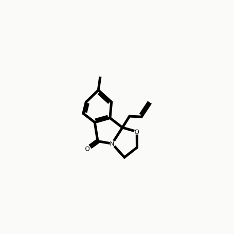 C=CCC12OCCN1C(=O)c1ccc(C)cc12